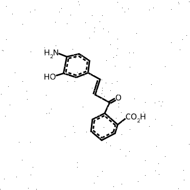 Nc1ccc(C=CC(=O)c2ccccc2C(=O)O)cc1O